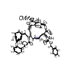 CO[C@@H]1O[C@@H]2C[C@@H](N(Cc3ccccc3)C(=O)OCc3ccccc3)C/C=C/[C@H](NC(=O)OCc3ccccc3)C(=O)OC3(C)OC2[C@@H]1O3